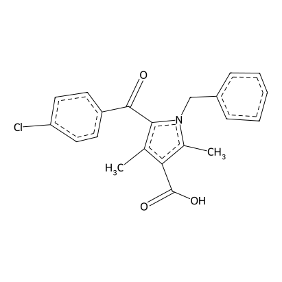 Cc1c(C(=O)O)c(C)n(Cc2ccccc2)c1C(=O)c1ccc(Cl)cc1